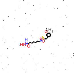 COc1cccc(C=C2ON(CCCCCCC(=O)NO)OS2)c1